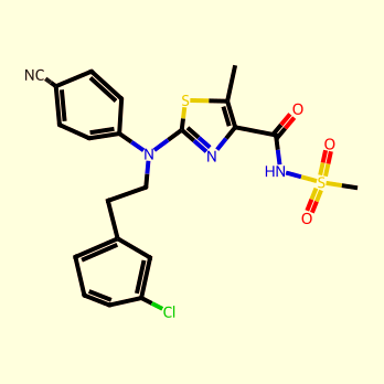 Cc1sc(N(CCc2cccc(Cl)c2)c2ccc(C#N)cc2)nc1C(=O)NS(C)(=O)=O